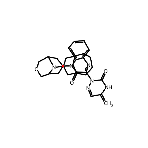 C=C1C=NN(c2nc3ccccc3n(C3CC4COCC(C3)N4C3CC4CCCCC(C4)C3)c2=O)C(=O)N1